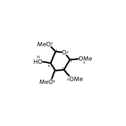 COC1OC(OC)C(OC)C(OC)C1O